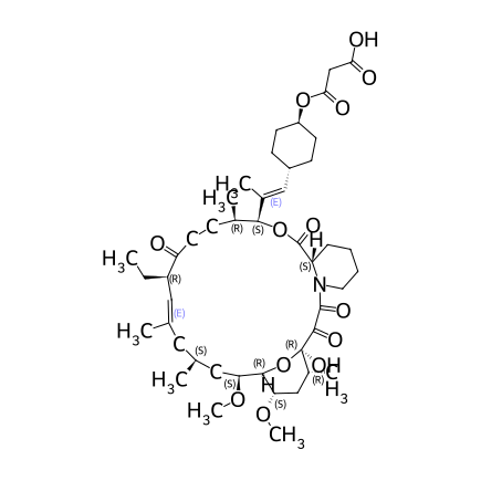 CC[C@@H]1/C=C(\C)C[C@H](C)C[C@H](OC)[C@H]2O[C@@](O)(C(=O)C(=O)N3CCCC[C@H]3C(=O)O[C@H](/C(C)=C/[C@H]3CC[C@H](OC(=O)CC(=O)O)CC3)[C@H](C)CCC1=O)[C@H](C)C[C@@H]2OC